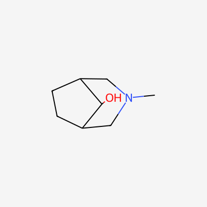 CN1CC2CCC(C1)C2O